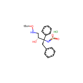 CC(C)(C)ONC[C@@H](O)[C@@](Cc1ccccc1)(N=S(=O)=O)c1ccccc1.Cl